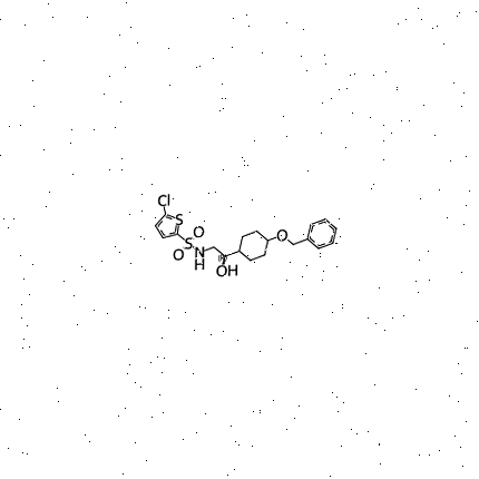 O=S(=O)(NC[C@H](O)C1CCC(OCc2ccccc2)CC1)c1ccc(Cl)s1